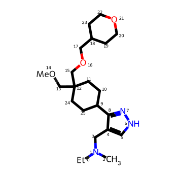 [CH2]CN(C)Cc1c[nH]nc1C1CCC(COC)(COCC2CCOCC2)CC1